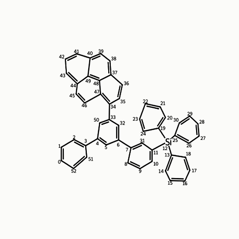 c1ccc(-c2cc(-c3cccc([Si](c4ccccc4)(c4ccccc4)c4ccccc4)c3)cc(-c3ccc4ccc5cccc6ccc3c4c56)c2)cc1